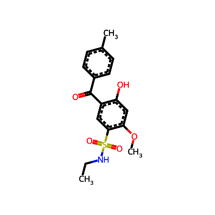 CCNS(=O)(=O)c1cc(C(=O)c2ccc(C)cc2)c(O)cc1OC